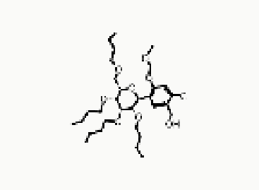 CCCCOC[C@H]1O[C@@H](c2cc(CO)c(Cl)cc2OCOC)[C@H](OCCCC)[C@@H](OCCCC)[C@@H]1OCCCC